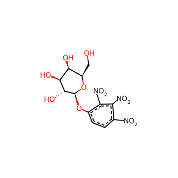 O=[N+]([O-])c1ccc(O[C@@H]2O[C@H](CO)[C@H](O)[C@H](O)[C@H]2O)c([N+](=O)[O-])c1[N+](=O)[O-]